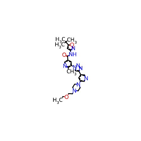 CCOCCN1CCN(c2cncc(-c3cn(-c4cc(C(=O)Nc5cc(C(C)(C)C)on5)cnc4C)nn3)c2)CC1